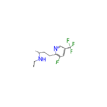 CCNC(C)CCc1ncc(C(F)(F)F)cc1F